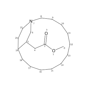 COC(=O)CC1CN2CCCCCCCCCCCC1CC2